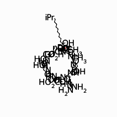 CCCCCCCCCCCC1CC(=O)N(C(=O)CC(O)CCCCCCCCCCC(C)C)[C@H]([C@@H](C)O)C(=O)N[C@H](C)C(=O)N2CC[C@H](O)[C@H]2C(=O)N[C@@H](CCCN=C(N)N)C(=O)N[C@H]([C@@H](O)C(=O)O)C(=O)N[C@H](CO)C(=O)N2CC[C@H](O)[C@H]2C(=O)N[C@@H]([C@H](O)C(=O)O)C(=O)O1